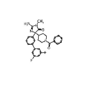 CN1C(=O)C(c2cccc(-c3cc(F)cc(F)c3)c2)(C2CCN(C(=O)c3ccccc3)CC2)N=C1N